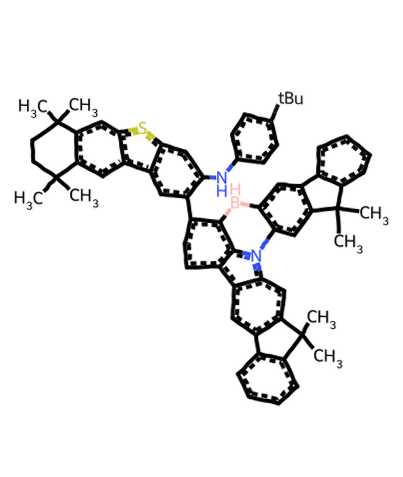 CC(C)(C)c1ccc(Nc2cc3sc4cc5c(cc4c3cc2-c2ccc3c4cc6c(cc4n4c3c2Bc2cc3c(cc2-4)C(C)(C)c2ccccc2-3)C(C)(C)c2ccccc2-6)C(C)(C)CCC5(C)C)cc1